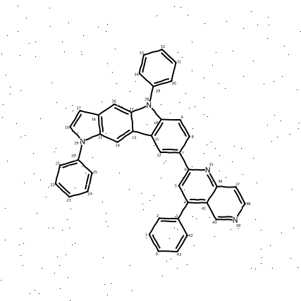 c1ccc(-c2cc(-c3ccc4c(c3)c3cc5c(ccn5-c5ccccc5)cc3n4-c3ccccc3)nc3ccncc23)cc1